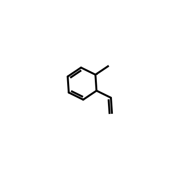 C=CC1C=CC=C[C]1C